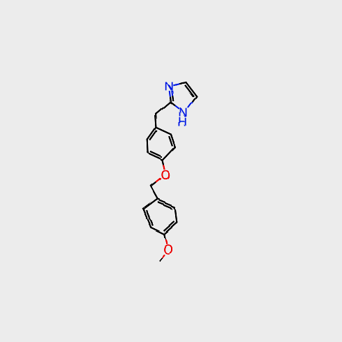 COc1ccc(COc2ccc(Cc3ncc[nH]3)cc2)cc1